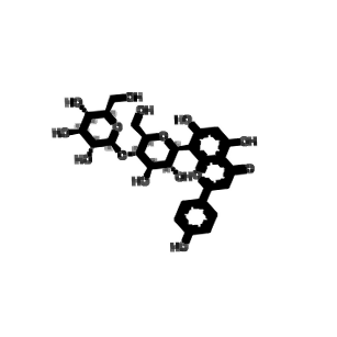 O=c1cc(-c2ccc(O)cc2)oc2c([C@@H]3O[C@H](CO)[C@@H](O[C@@H]4O[C@H](CO)[C@@H](O)[C@H](O)[C@H]4O)[C@H](O)[C@H]3O)c(O)cc(O)c12